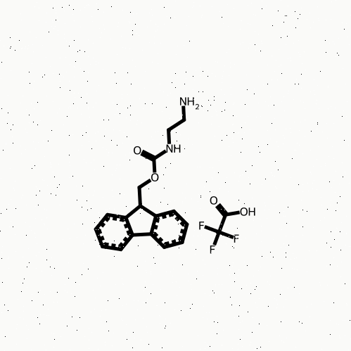 NCCNC(=O)OCC1c2ccccc2-c2ccccc21.O=C(O)C(F)(F)F